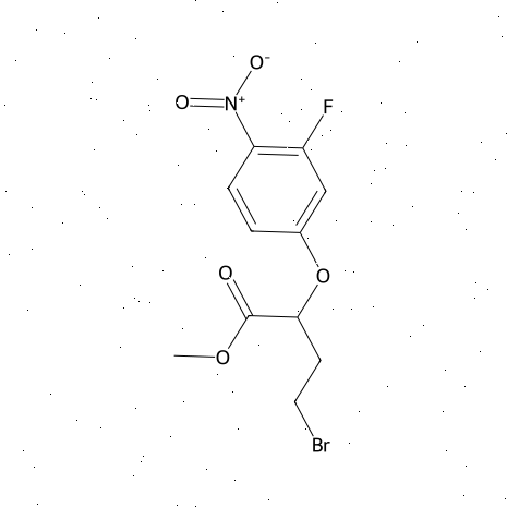 COC(=O)C(CCBr)Oc1ccc([N+](=O)[O-])c(F)c1